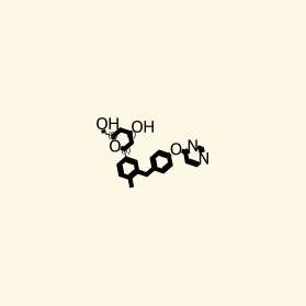 Cc1ccc([C@H]2C[C@@H](O)C[C@@H](CO)O2)cc1Cc1ccc(Oc2ccncn2)cc1